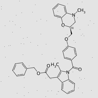 Cc1c(CC(=O)OCc2ccccc2)c2ccccc2n1C(=O)c1ccc(OC[C@@H]2CN(C)c3ccccc3O2)cc1